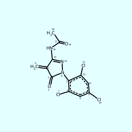 C=C1C(=O)N(c2c(Cl)cc(Cl)cc2Cl)N=C1NC(C)=O